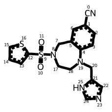 N#Cc1ccc2c(c1)CN(S(=O)(=O)c1cccs1)CCN2Cc1cnc[nH]1